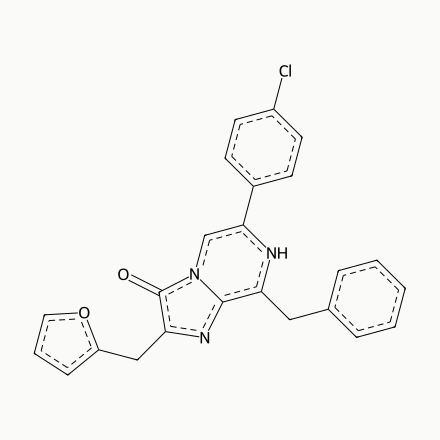 O=c1c(Cc2ccco2)nc2c(Cc3ccccc3)[nH]c(-c3ccc(Cl)cc3)cn1-2